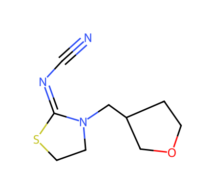 N#CN=C1SCCN1CC1CCOC1